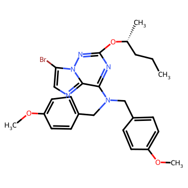 CCC[C@@H](C)Oc1nc(N(Cc2ccc(OC)cc2)Cc2ccc(OC)cc2)c2ncc(Br)n2n1